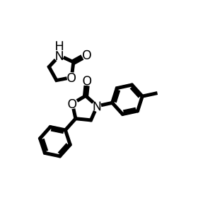 Cc1ccc(N2CC(c3ccccc3)OC2=O)cc1.O=C1NCCO1